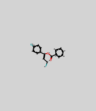 O=C(OC(=CCF)c1ccc(F)cc1)c1ccccc1